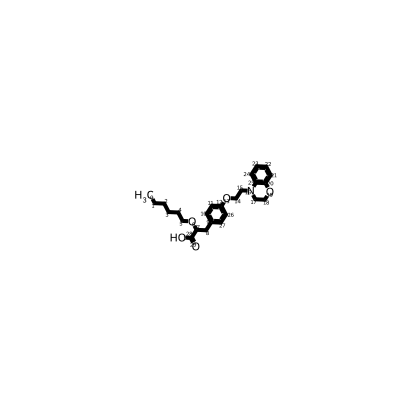 CCCCCCOC(Cc1ccc(OCCN2CCOc3ccccc32)cc1)C(=O)O